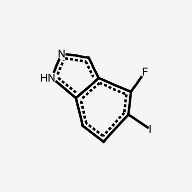 Fc1c(I)ccc2[nH]ncc12